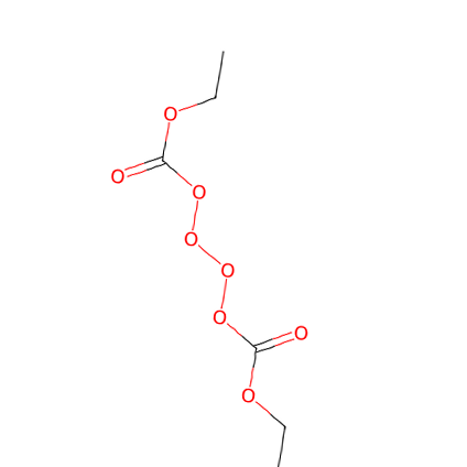 CCOC(=O)OOOOC(=O)OCC